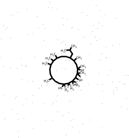 CC(C)CC1CCC(C)C(C)C(C)CCC(C)CCC(C)(S)C(C)(I)C(C)(S)C(S)C(C)(I)C(C)(S)CC1C